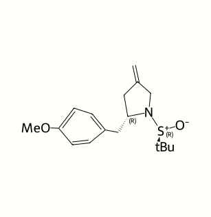 C=C1C[C@@H](Cc2ccc(OC)cc2)N([S@@+]([O-])C(C)(C)C)C1